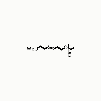 COCCSSCCO[PH](C)=O